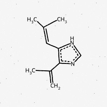 C=C(C)c1nc[nH]c1C=C(C)C